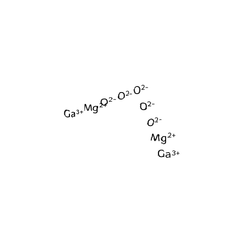 [Ga+3].[Ga+3].[Mg+2].[Mg+2].[O-2].[O-2].[O-2].[O-2].[O-2]